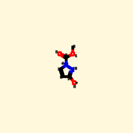 COC(=O)n1ccc([O])n1